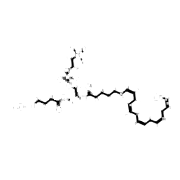 CC/C=C\C/C=C\C/C=C\C/C=C\C/C=C\CCCCCC(=O)O[C@H](COC(=O)CCCCCCCCCCCCC)COP(=O)([O-])OCC[N+](C)(C)C